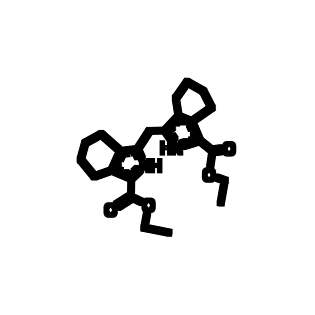 CCOC(=O)c1[nH]c(Cc2[nH]c(C(=O)OCC)c3c2CCCC3)c2c1CCCC2